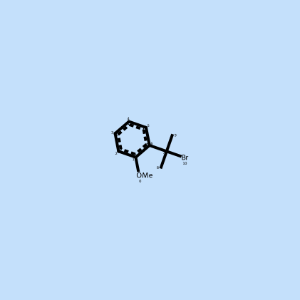 COc1ccccc1C(C)(C)Br